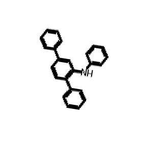 c1ccc(Nc2cc(-c3ccccc3)ccc2-c2ccccc2)cc1